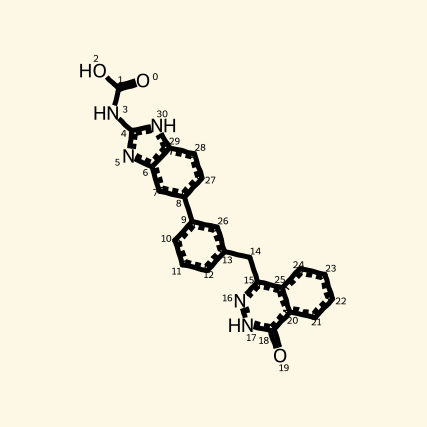 O=C(O)Nc1nc2cc(-c3cccc(Cc4n[nH]c(=O)c5ccccc45)c3)ccc2[nH]1